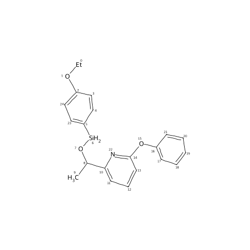 CCOc1ccc([SiH2]OC(C)c2cccc(Oc3ccccc3)n2)cc1